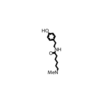 CNCCCCCC(=O)NCCc1ccc(O)cc1